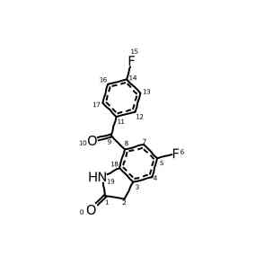 O=C1Cc2cc(F)cc(C(=O)c3ccc(F)cc3)c2N1